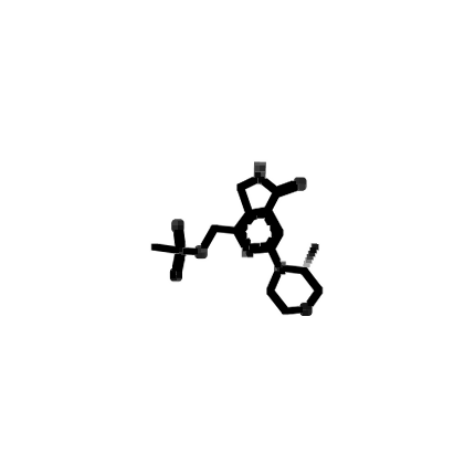 C[C@@H]1COCCN1c1cc2c(c(COS(C)(=O)=O)n1)CNC2=O